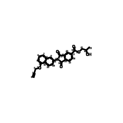 C#CCOc1cccc2cc(N3C(=O)c4ccc(C(=O)OCC(C)O)cc4C3=O)ccc12